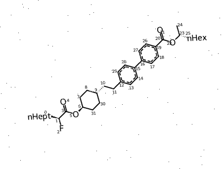 CCCCCCC[C@H](F)C(=O)O[C@H]1CC[C@H](CCc2ccc(-c3ccc(C(=O)O[C@H](C)CCCCCC)cc3)cc2)CC1